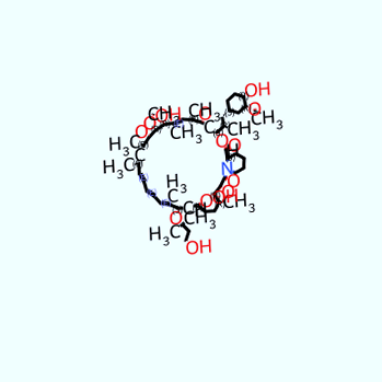 CO[C@@H]1C[C@H](C[C@@H](C)[C@@H]2CC(=O)[C@H](C)/C=C(\C)[C@@H](O)[C@@H](OC)C(=O)[C@H](C)C[C@H](C)/C=C/C=C/C=C(\C)[C@@H](OC(C)(C)CCO)C[C@@H]3CC[C@@H](C)[C@@](O)(O3)C(=O)C(=O)N3CCCC[C@H]3C(=O)O2)CC[C@H]1O